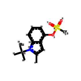 Cc1cc2c(OS(=O)(=O)C(F)(F)F)cccc2n1[Si](C)(C)C(C)(C)C